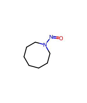 O=NN1CCCCCCC1